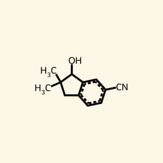 CC1(C)Cc2ccc(C#N)cc2C1O